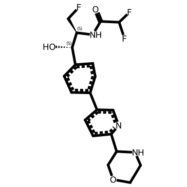 O=C(N[C@H](CF)[C@@H](O)c1ccc(-c2ccc(C3COCCN3)nc2)cc1)C(F)F